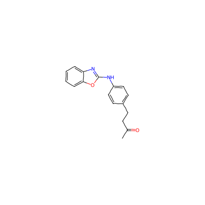 CC(=O)CCc1ccc(Nc2nc3ccccc3o2)cc1